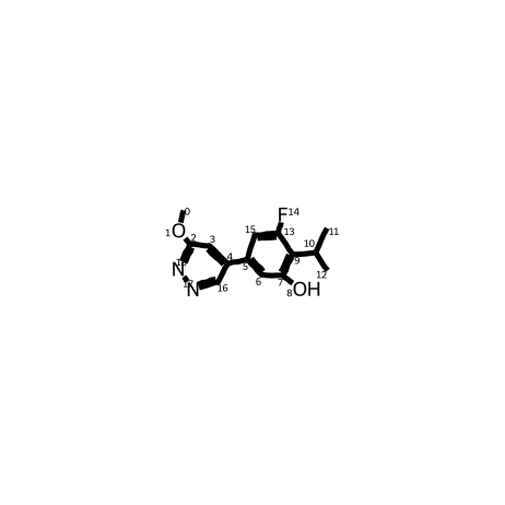 COc1cc(-c2cc(O)c(C(C)C)c(F)c2)cnn1